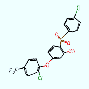 O=S(=O)(c1ccc(Cl)cc1)c1ccc(Oc2ccc(C(F)(F)F)cc2Cl)cc1O